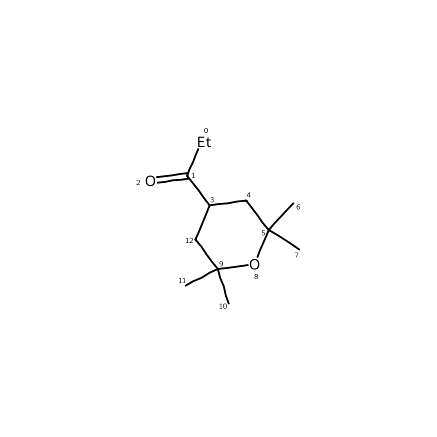 CCC(=O)C1CC(C)(C)OC(C)(C)C1